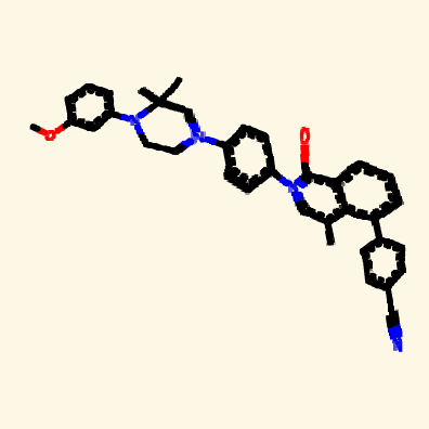 COc1cccc(N2CCN(c3ccc(-n4cc(C)c5c(-c6ccc(C#N)cc6)cccc5c4=O)cc3)CC2(C)C)c1